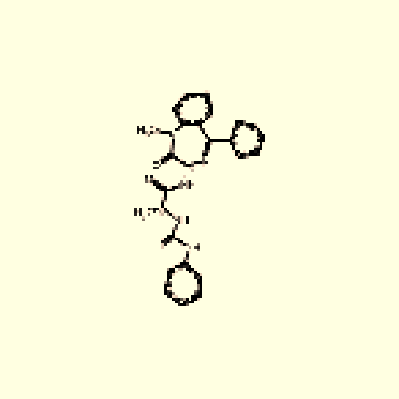 C[C@H](NC(=O)Nc1ccccc1)C(=O)N[C@H]1N=C(c2ccccc2)c2ccccc2N(C)C1=O